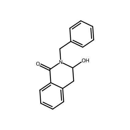 O=C1c2ccccc2CC(O)N1Cc1ccccc1